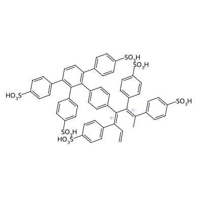 C=C/C(=C(\C(=C(/C)c1ccc(S(=O)(=O)O)cc1)c1ccc(S(=O)(=O)O)cc1)c1ccc(-c2c(-c3ccc(S(=O)(=O)O)cc3)ccc(-c3ccc(S(=O)(=O)O)cc3)c2-c2ccc(S(=O)(=O)O)cc2)cc1)c1ccc(S(=O)(=O)O)cc1